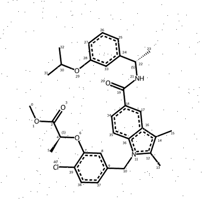 COC(=O)[C@H](C)Oc1cc(Cn2c(C)c(C)c3cc(C(=O)N[C@@H](C)c4cccc(OC(C)C)c4)ccc32)ccc1Cl